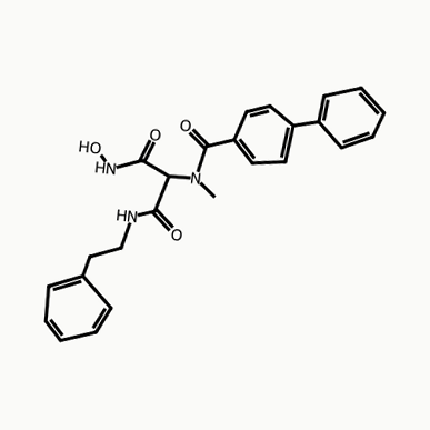 CN(C(=O)c1ccc(-c2ccccc2)cc1)C(C(=O)NO)C(=O)NCCc1ccccc1